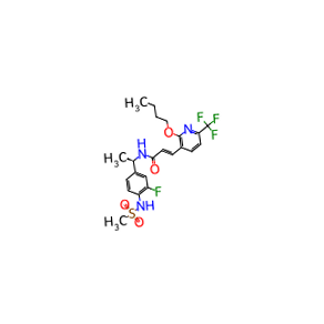 CCCCOc1nc(C(F)(F)F)ccc1/C=C/C(=O)N[C@H](C)c1ccc(NS(C)(=O)=O)c(F)c1